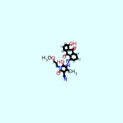 COCCCn1c(O)c(/N=N/c2cccc3c2C(=O)c2cccc(O)c2C3=O)c(C)c(C#N)c1=O